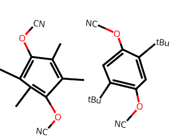 CC(C)(C)c1cc(OC#N)c(C(C)(C)C)cc1OC#N.Cc1c(C)c(OC#N)c(C)c(C)c1OC#N